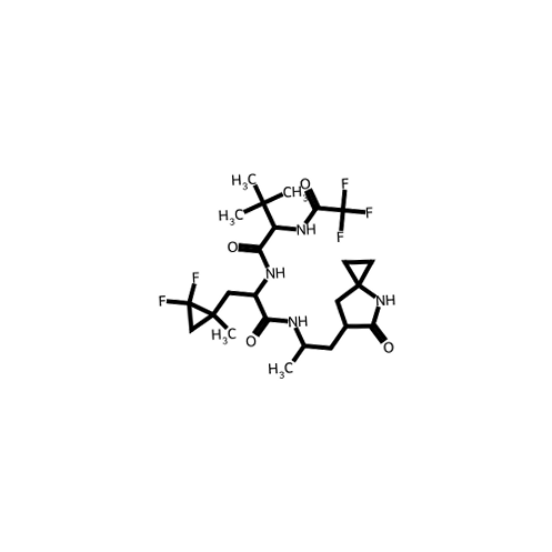 CC(CC1CC2(CC2)NC1=O)NC(=O)C(CC1(C)CC1(F)F)NC(=O)C(NC(=O)C(F)(F)F)C(C)(C)C